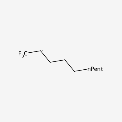 CCCCCCCC[CH]C(F)(F)F